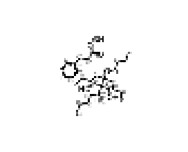 CCCCOC(CCCC)(CCCC)C(CO)(CO)C(O)CCCC.O=C(CCc1ccccc1)OO